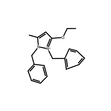 CCOc1cc(C)n(Cc2ccccc2)[n+]1Cc1ccccc1